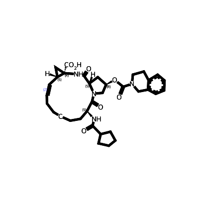 O=C(N[C@H]1CCCCC/C=C\[C@@H]2C[C@@]2(C(=O)O)NC(=O)[C@@H]2C[C@@H](OC(=O)N3CCc4ccccc4C3)CN2C1=O)C1CCCC1